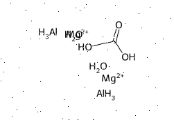 O.O.O=C(O)O.[AlH3].[AlH3].[Mg+2].[Mg+2]